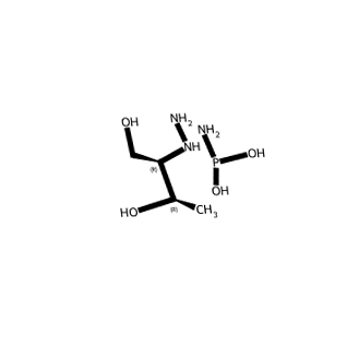 C[C@@H](O)[C@@H](CO)NN.NP(O)O